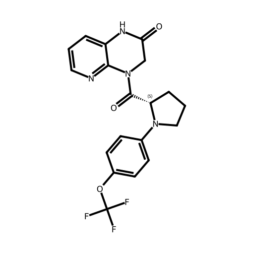 O=C1CN(C(=O)[C@@H]2CCCN2c2ccc(OC(F)(F)F)cc2)c2ncccc2N1